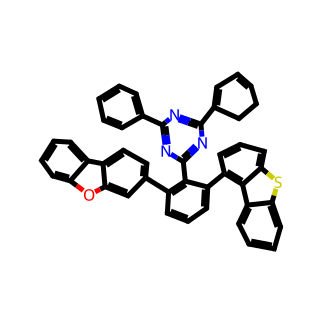 C1=CCCC(c2nc(-c3ccccc3)nc(-c3c(-c4ccc5c(c4)oc4ccccc45)cccc3-c3cccc4sc5ccccc5c34)n2)=C1